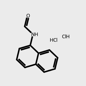 Cl.Cl.O=CNc1cccc2ccccc12